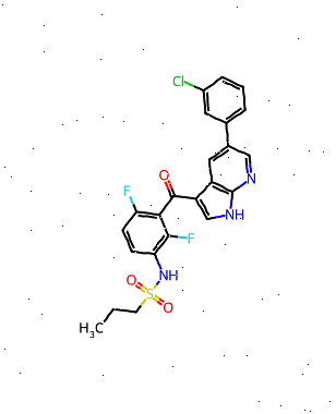 CCCS(=O)(=O)Nc1ccc(F)c(C(=O)c2c[nH]c3ncc(-c4cccc(Cl)c4)cc23)c1F